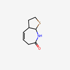 O=C1CC=CC2CCSC2N1